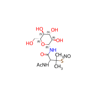 CC(=O)NC(C(=O)N[C@@H]1O[C@H](CO)[C@@H](O)[C@H](O)[C@H]1O)C(C)(C)SN=O